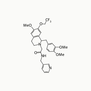 COc1ccc(CC2c3cc(OCC(F)(F)F)c(OC)cc3CCN2CC(=O)NCc2cccnc2)cc1OC